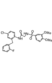 COc1ccc(S(=O)(=O)NCC(=O)Nc2ccc(Cl)cc2Cc2ccccc2F)cc1OC